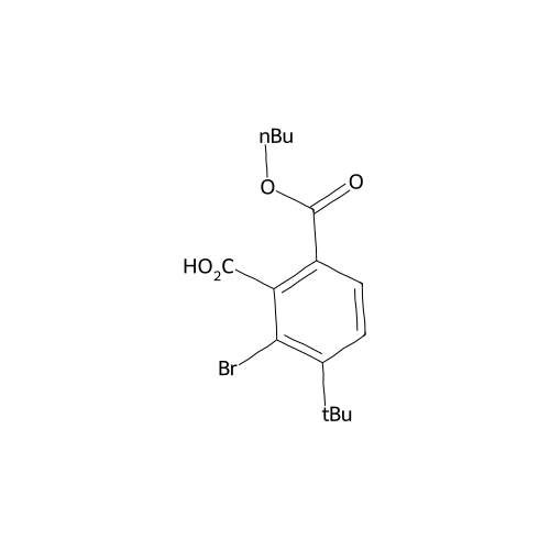 CCCCOC(=O)c1ccc(C(C)(C)C)c(Br)c1C(=O)O